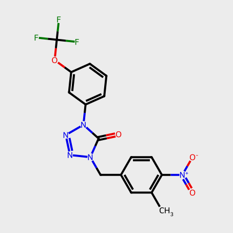 Cc1cc(Cn2nnn(-c3cccc(OC(F)(F)F)c3)c2=O)ccc1[N+](=O)[O-]